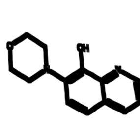 Oc1c(N2CCOCC2)ccc2cccnc12